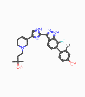 CCc1cc(O)ccc1-c1ccc2c(-c3nc(C4=CCCN(CCC(C)(C)O)C4)c[nH]3)n[nH]c2c1F